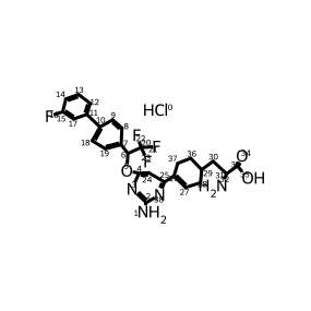 Cl.Nc1nc(OC(c2ccc(-c3cccc(F)c3)cc2)C(F)(F)F)cc(C2=CCC(CC(N)C(=O)O)CC2)n1